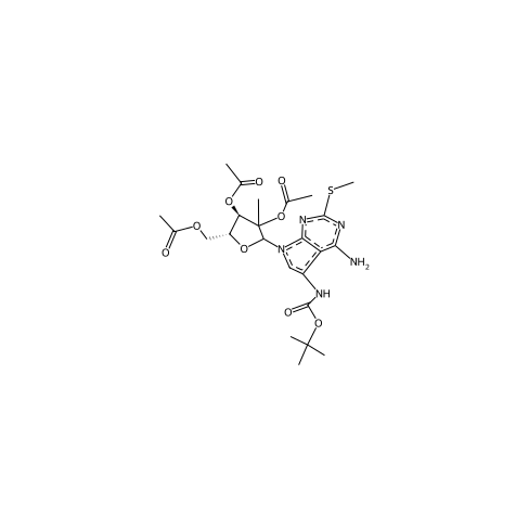 CSc1nc(N)c2c(NC(=O)OC(C)(C)C)cn(C3O[C@H](COC(C)=O)[C@@H](OC(C)=O)C3(C)OC(C)=O)c2n1